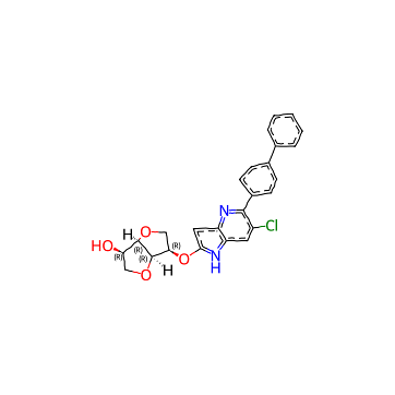 O[C@@H]1CO[C@H]2[C@@H]1OC[C@H]2Oc1cc2nc(-c3ccc(-c4ccccc4)cc3)c(Cl)cc2[nH]1